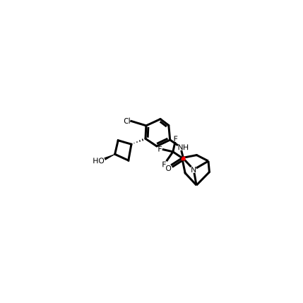 O=C(Nc1ccc(Cl)c([C@H]2C[C@H](O)C2)c1)N1C2CC1CC(C(F)(F)F)C2